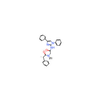 CC(C)N(CC(=O)Nc1nc(-c2ccccc2)cn1-c1ccccc1)C(=O)[C@@H](C)c1ccccc1